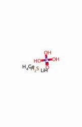 O=P(O)(O)O.S.[GeH4].[LiH]